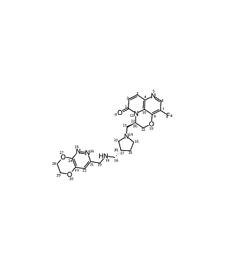 O=c1ccc2ncc(F)c3c2n1[C@H](CN1CC[C@H](CNCc2cc4c(nn2)OCCO4)C1)CO3